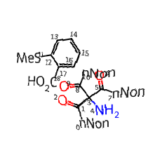 CCCCCCCCCC(=O)C(N)(C(=O)CCCCCCCCC)C(=O)CCCCCCCCC.CSc1ccccc1C(=O)O